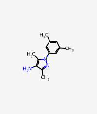 Cc1cc(C)cc(-n2nc(C)c(N)c2C)c1